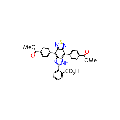 COC(=O)c1ccc(-c2c3nsnc3c(-c3ccc(C(=O)OC)cc3)c3[nH]c(-c4ccccc4C(=O)O)nc23)cc1